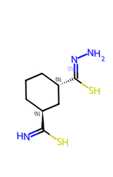 N=C(S)[C@H]1CCC[C@H](/C(S)=N/N)C1